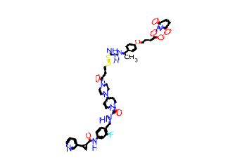 C/C(=N\NC(=N)SSCCC(=O)N1CCN(C2CCN(C(=O)NCc3ccc(NC(=O)C4CC4c4cccnc4)cc3F)CC2)CC1)c1ccc(OCCCC(=O)ON2C(=O)CCC2=O)cc1